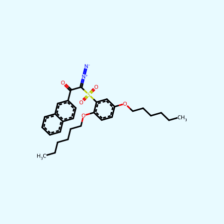 CCCCCCOc1ccc(OCCCCCC)c(S(=O)(=O)C(=[N+]=[N-])C(=O)c2ccc3ccccc3c2)c1